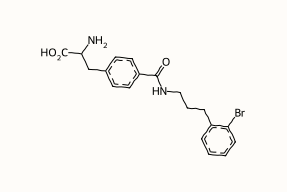 NC(Cc1ccc(C(=O)NCCCc2ccccc2Br)cc1)C(=O)O